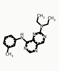 CCN(CC)c1ncc2ncnc(Nc3cccc(C)c3)c2n1